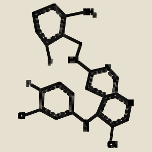 N#Cc1cnc2cnc(NCc3c(N)cccc3F)cc2c1Nc1ccc(F)c(Cl)c1